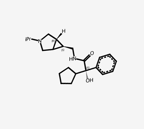 CC(C)N1CC2[C@H](CNC(=O)[C@@](O)(c3ccccc3)C3CCCC3)[C@H]2C1